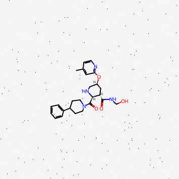 Cc1ccnc(O[C@@H]2CN[C@H](C(=O)N3CCC(c4ccccc4)CC3)[C@@H](C(=O)NCO)C2)c1